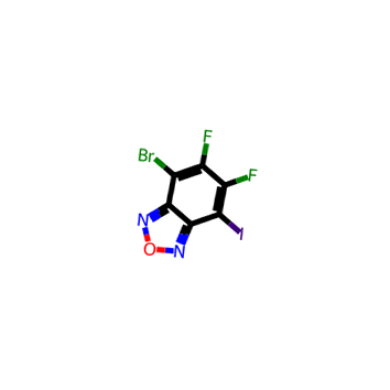 Fc1c(F)c(I)c2nonc2c1Br